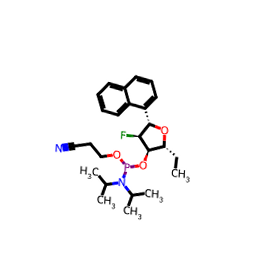 CC[C@H]1O[C@@H](c2cccc3ccccc23)[C@H](F)[C@@H]1OP(OCCC#N)N(C(C)C)C(C)C